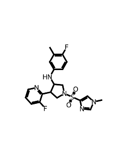 Cc1cc(NC2CN(S(=O)(=O)c3cn(C)cn3)CC2c2ncccc2F)ccc1F